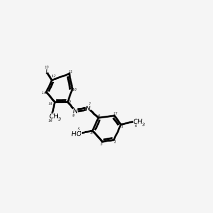 Cc1ccc(O)c(/N=N/c2ccc(I)cc2C)c1